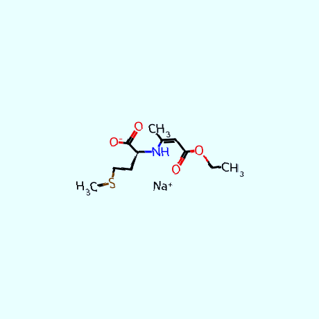 CCOC(=O)C=C(C)N[C@@H](CCSC)C(=O)[O-].[Na+]